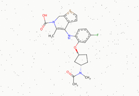 CC(=O)N(C)[C@H]1CC[C@H](Oc2cc(F)ccc2NC2=C(C)N(C(=O)O)Cc3sccc32)C1